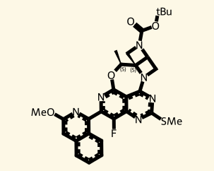 COc1cc2ccccc2c(-c2nc3c4c(nc(SC)nc4c2F)N2CC4N(C(=O)OC(C)(C)C)C[C@@]42[C@H](C)O3)n1